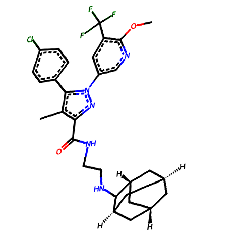 COc1ncc(-n2nc(C(=O)NCCNC3[C@H]4C[C@@H]5C[C@@H](C[C@H]3C5)C4)c(C)c2-c2ccc(Cl)cc2)cc1C(F)(F)F